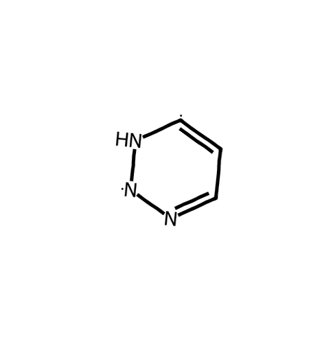 [C]1=CC=N[N]N1